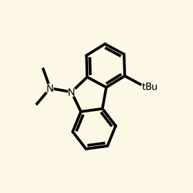 CN(C)n1c2ccccc2c2c(C(C)(C)C)cccc21